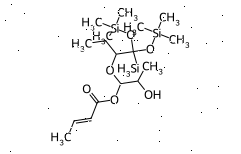 CC=CC(=O)OC(OC(CC)C([SiH3])(O[Si](C)(C)C)O[Si](C)(C)C)C(C)O